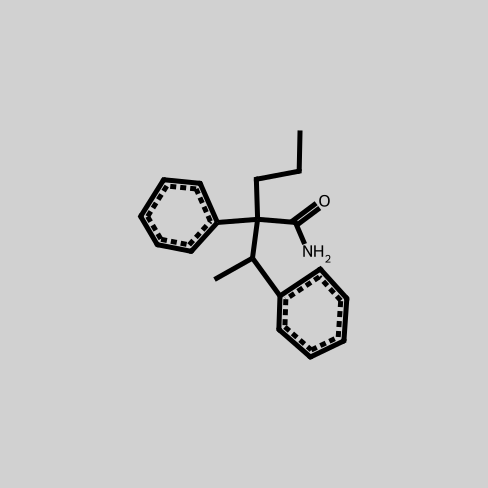 CCCC(C(N)=O)(c1ccccc1)C(C)c1ccccc1